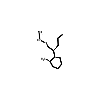 CCC[C@H](COPN)[C@H]1CCCC[C@H]1N